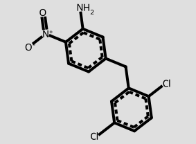 Nc1cc(Cc2cc(Cl)ccc2Cl)ccc1[N+](=O)[O-]